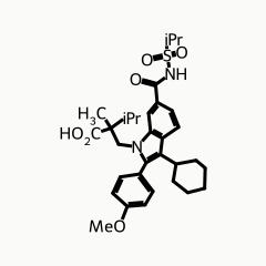 COc1ccc(-c2c(C3CCCCC3)c3ccc(C(=O)NS(=O)(=O)C(C)C)cc3n2CC(C)(C(=O)O)C(C)C)cc1